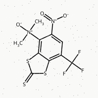 C[N+](C)([O-])c1c([N+](=O)[O-])cc(C(F)(F)F)c2sc(=S)sc12